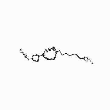 CCCCCCCc1ccc(-c2ccc(N=C=S)cc2)nc1